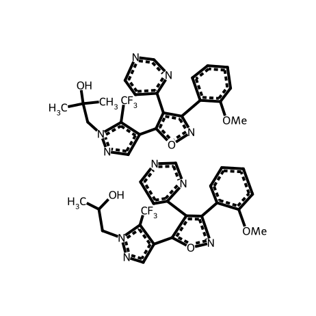 COc1ccccc1-c1noc(-c2cnn(CC(C)(C)O)c2C(F)(F)F)c1-c1ccncn1.COc1ccccc1-c1noc(-c2cnn(CC(C)O)c2C(F)(F)F)c1-c1ccncn1